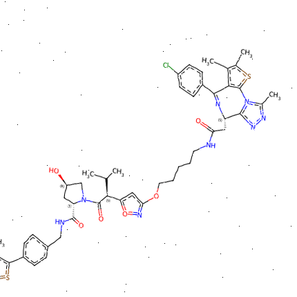 Cc1ncsc1-c1ccc(CNC(=O)[C@@H]2C[C@@H](O)CN2C(=O)[C@H](c2cc(OCCCCCNC(=O)C[C@@H]3N=C(c4ccc(Cl)cc4)c4c(sc(C)c4C)-n4c(C)nnc43)no2)C(C)C)cc1